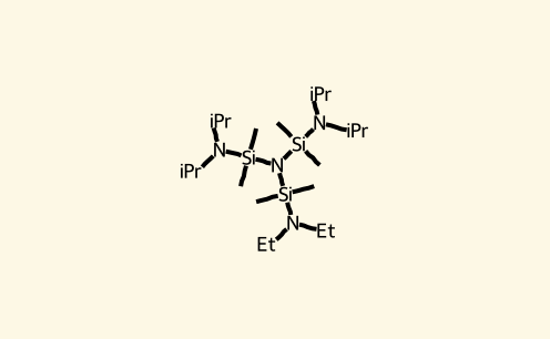 CCN(CC)[Si](C)(C)N([Si](C)(C)N(C(C)C)C(C)C)[Si](C)(C)N(C(C)C)C(C)C